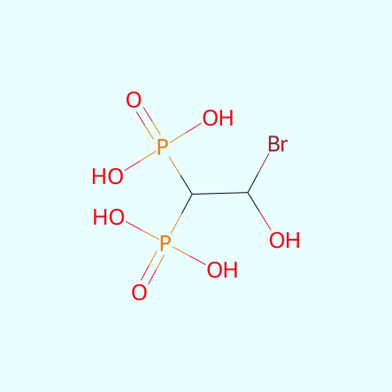 O=P(O)(O)C(C(O)Br)P(=O)(O)O